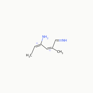 C/C=C(N)\C=C(\C)C=N